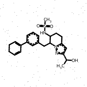 CC(O)c1cc2n(n1)C(Cc1cccc(C3=CCCC=C3)c1)C(NS(C)(=O)=O)CC2